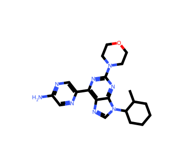 CC1CCCCC1n1cnc2c(-c3cnc(N)cn3)nc(N3CCOCC3)nc21